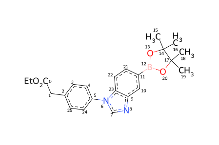 CCOC(=O)Cc1ccc(-n2cnc3cc(B4OC(C)(C)C(C)(C)O4)ccc32)cc1